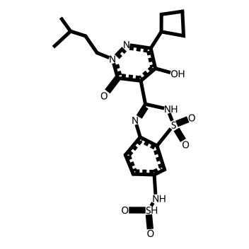 CC(C)CCn1nc(C2CCC2)c(O)c(C2=Nc3ccc(N[SH](=O)=O)cc3S(=O)(=O)N2)c1=O